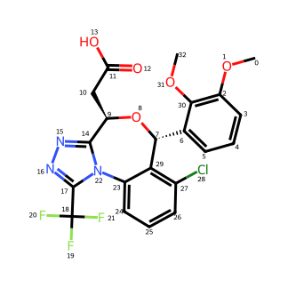 COc1cccc([C@H]2O[C@H](CC(=O)O)c3nnc(C(F)(F)F)n3-c3cccc(Cl)c32)c1OC